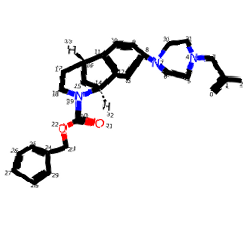 C=C(C)CN1CCN(c2ccc3c(c2)[C@@H]2C[C@@H]3CCN2C(=O)OCc2ccccc2)CC1